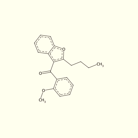 CCCCc1oc2ccccc2c1C(=O)c1ccccc1OC